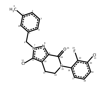 Cc1cccc(Cn2nc3c(c2Cl)CCN(c2cccc(Cl)c2F)C3=O)c1